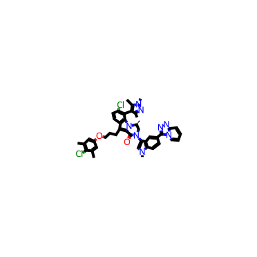 Cc1cc(OCCCc2c3n(c4c(-c5c(C)nn(C)c5C)c(Cl)ccc24)[C@H](C)CN(c2cn(C)c4ccc(-c5nnc6ccccn56)cc24)C3=O)cc(C)c1Cl